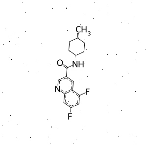 C[C@H]1CC[C@H](NC(=O)c2cnc3cc(F)cc(F)c3c2)CC1